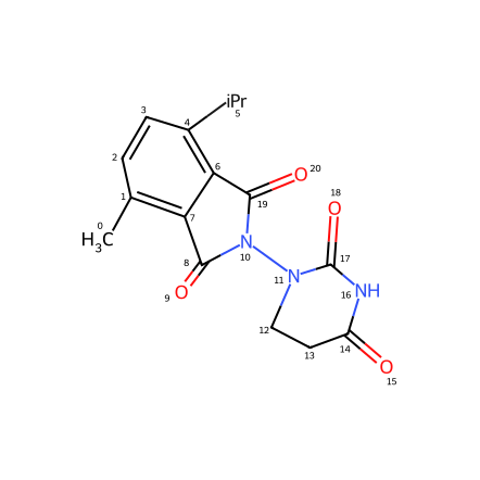 Cc1ccc(C(C)C)c2c1C(=O)N(N1CCC(=O)NC1=O)C2=O